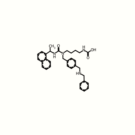 CC(NC(=O)N(CCCCNC(=O)O)Cc1ccc(CNCc2ccccc2)cc1)c1cccc2ccccc12